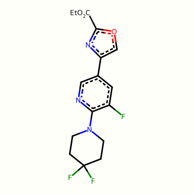 CCOC(=O)c1nc(-c2cnc(N3CCC(F)(F)CC3)c(F)c2)co1